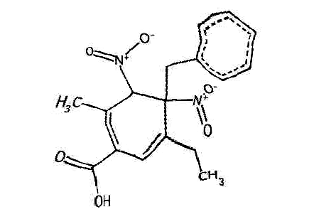 CCC1=CC(C(=O)O)=C(C)C([N+](=O)[O-])C1(Cc1ccccc1)[N+](=O)[O-]